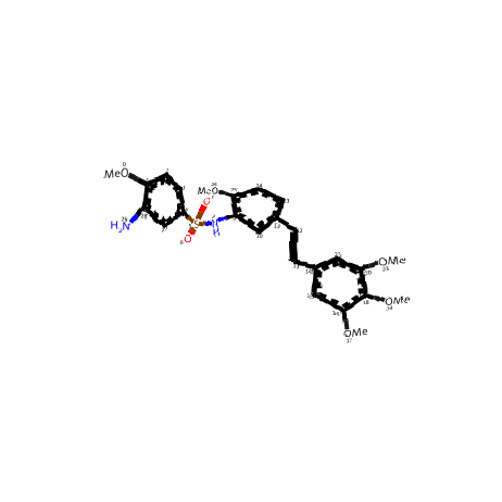 COc1ccc(S(=O)(=O)Nc2cc(C=Cc3cc(OC)c(OC)c(OC)c3)ccc2OC)cc1N